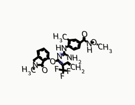 C=C/C(=C(\N=C(/N)Nc1ccc(C(=O)NOC)cc1C)Oc1cccc2c1C(=O)N(C)C2)C(F)(F)F